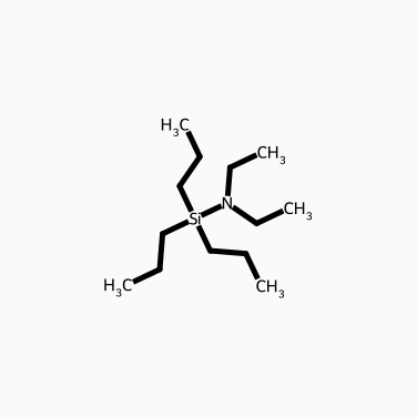 CCC[Si](CCC)(CCC)N(CC)CC